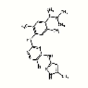 Cc1cc(Nc2nc(Nc3cc(C)c(C(C)N(C)C)cc3C)ncc2Cl)n[nH]1